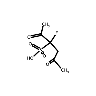 CC(=O)CC(F)(C(C)=O)S(=O)(=O)O